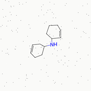 C1=CC(NC2CC=CCC2)CCC1